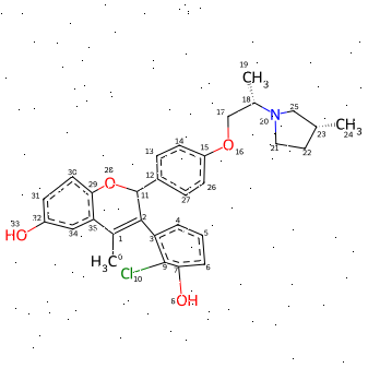 CC1=C(c2cccc(O)c2Cl)C(c2ccc(OC[C@H](C)N3CC[C@@H](C)C3)cc2)Oc2ccc(O)cc21